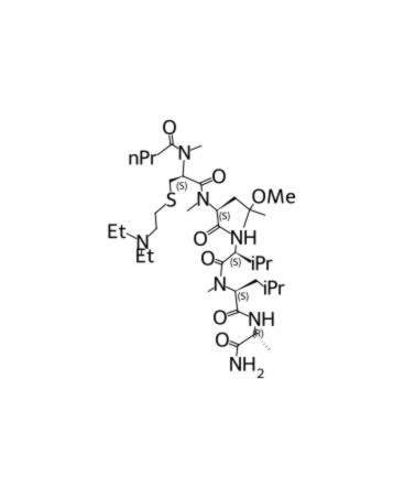 CCCC(=O)N(C)[C@H](CSCCN(CC)CC)C(=O)N(C)[C@@H](CC(C)(C)OC)C(=O)N[C@H](C(=O)N(C)[C@@H](CC(C)C)C(=O)N[C@H](C)C(N)=O)C(C)C